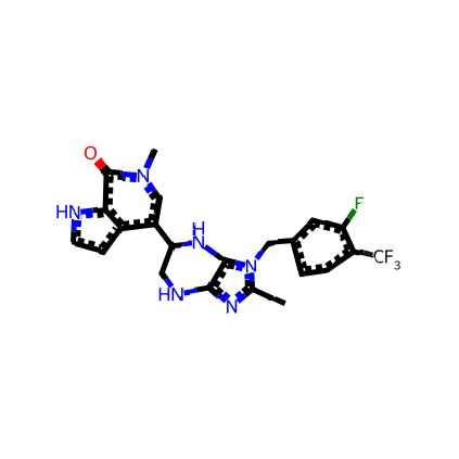 Cc1nc2c(n1Cc1ccc(C(F)(F)F)c(F)c1)NC(c1cn(C)c(=O)c3[nH]ccc13)CN2